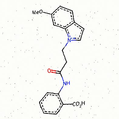 COc1ccc2ccn(CCC(=O)Nc3ccccc3C(=O)O)c2c1